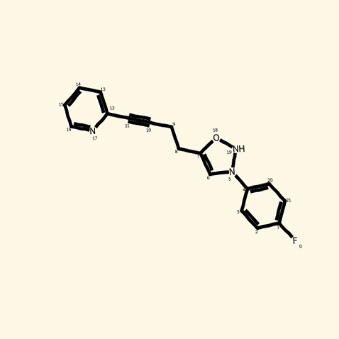 Fc1ccc(N2C=C(CCC#Cc3ccccn3)ON2)cc1